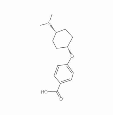 CN(C)[C@H]1CC[C@@H](Oc2ccc(C(=O)O)cc2)CC1